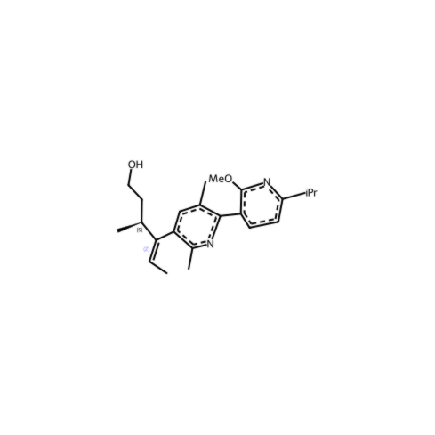 C/C=C(\c1cc(C)c(-c2ccc(C(C)C)nc2OC)nc1C)[C@@H](C)CCO